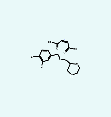 Clc1ccc(COCC2CNCCO2)cc1Cl.O=C(O)/C=C\C(=O)O